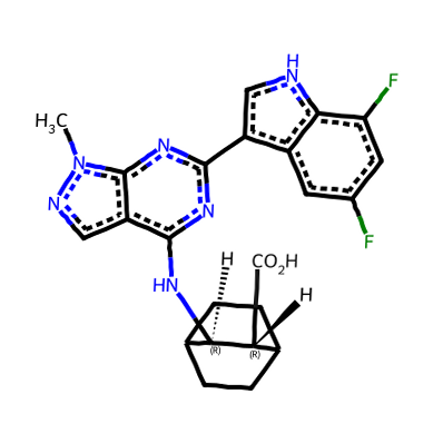 Cn1ncc2c(N[C@@H]3C4CCC(CC4)[C@H]3C(=O)O)nc(-c3c[nH]c4c(F)cc(F)cc34)nc21